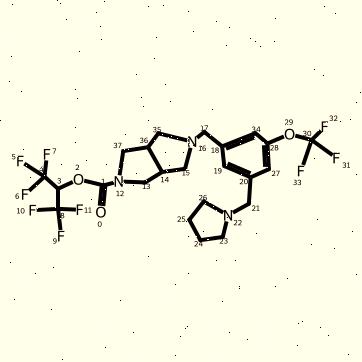 O=C(OC(C(F)(F)F)C(F)(F)F)N1CC2CN(Cc3cc(CN4CCCC4)cc(OC(F)(F)F)c3)CC2C1